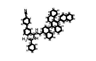 N#Cc1ccc(-c2cccc(C(NCc3ccc(-c4c5ccccc5c(-c5ccc6ccccc6c5)c5c4ccc4ccccc45)c4ccccc34)NC(N)c3ccccc3)c2)cc1